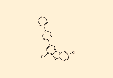 CCc1cc(-c2ccc(-c3ccccc3)cc2)cc2c1sc1ccc(Cl)cc12